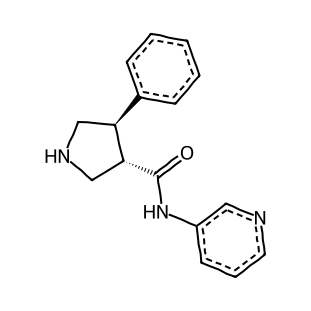 O=C(Nc1cccnc1)[C@@H]1CNC[C@H]1c1ccccc1